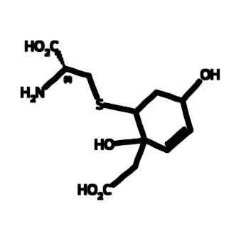 N[C@@H](CSC1CC(O)C=CC1(O)CC(=O)O)C(=O)O